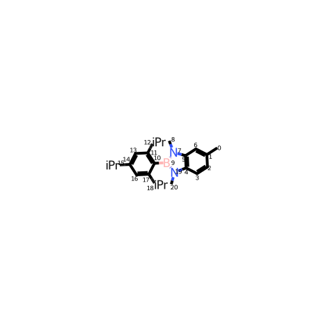 Cc1ccc2c(c1)N(C)B(c1c(C(C)C)cc(C(C)C)cc1C(C)C)N2C